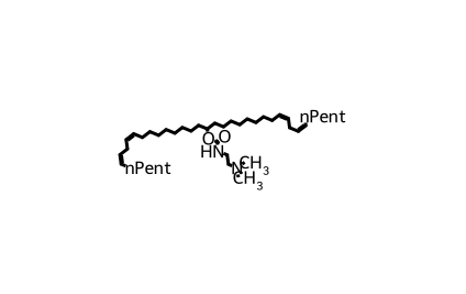 CCCCC/C=C\C/C=C\CCCCCCCCC(CCCCCCCC/C=C\C/C=C\CCCCC)OC(=O)NCCN(C)C